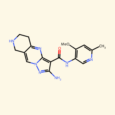 COc1cc(C)ncc1NC(=O)c1c(N)nn2cc3c(nc12)CCNC3